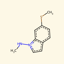 CNn1ccc2ccc(SC)cc21